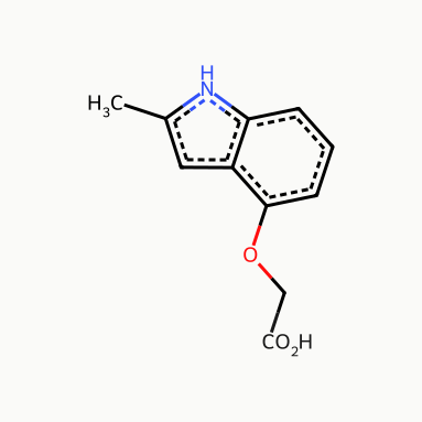 Cc1cc2c(OCC(=O)O)cccc2[nH]1